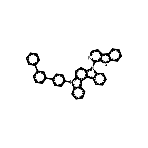 c1ccc(-c2cccc(-c3ccc(-n4c5ccccc5c5c6c7ccccc7n(-c7nccc8c7sc7ccccc78)c6ccc54)cc3)c2)cc1